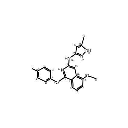 COc1cccc2c(Oc3ccc(C)cc3)nc(Nc3cc(C)[nH]n3)cc12